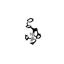 O=S(=O)(c1cccs1)N(CC1CC1)c1cccc2cc(-c3ncc(CN4CCCCC4)s3)[nH]c12